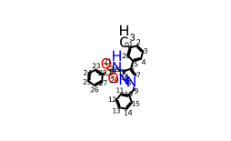 Cc1cccc(-c2cn(Cc3ccccc3)nc2NS(=O)(=O)c2ccccc2)c1